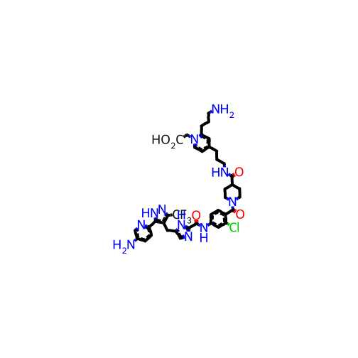 NCCCc1cc(CCCNC(=O)C2CCN(C(=O)c3ccc(NC(=O)c4ncc(Cc5c(C(F)(F)F)n[nH]c5-c5ccc(N)cn5)[nH]4)cc3Cl)CC2)cc[n+]1CC(=O)O